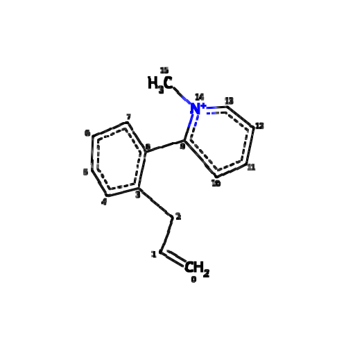 C=CCc1ccccc1-c1cccc[n+]1C